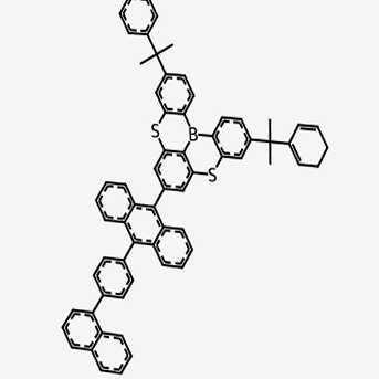 CC(C)(C1=CCCC=C1)c1ccc2c(c1)Sc1cc(-c3c4ccccc4c(-c4ccc(-c5cccc6ccccc56)cc4)c4ccccc34)cc3c1B2c1ccc(C(C)(C)c2ccccc2)cc1S3